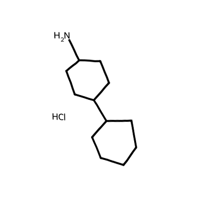 Cl.NC1CCC(C2CCCCC2)CC1